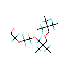 CC(F)(F)C(COCC(C(C)(F)F)(C(C)(F)F)C(F)(F)OC(F)(F)C(F)(F)OC(F)(F)CO)(C(C)(F)F)C(C)(F)F